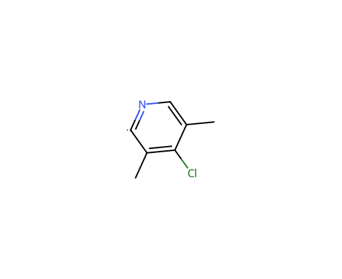 Cc1[c]ncc(C)c1Cl